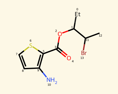 CCC(OC(=O)c1sccc1N)C(C)Br